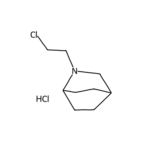 Cl.ClCCN1CC2CCC1CC2